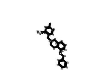 Cc1ncc(CN2CCc3c(cccc3OCc3ccccc3)C2)c(N)n1